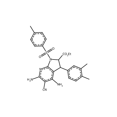 CCOC(=O)C1C(c2ccc(C)c(C)c2)c2c(nc(N)c(C#N)c2N)N1S(=O)(=O)c1ccc(C)cc1